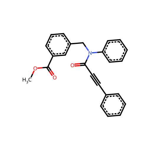 COC(=O)c1cccc(CN(C(=O)C#Cc2ccccc2)c2ccccc2)c1